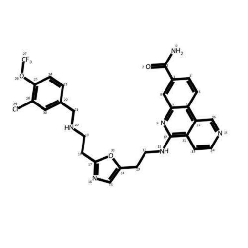 NC(=O)c1ccc2c(c1)nc(NCCc1cnc(CCNCc3ccc(OC(F)(F)F)c(Cl)c3)o1)c1ccncc12